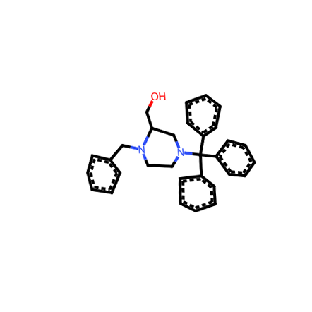 OCC1CN(C(c2ccccc2)(c2ccccc2)c2ccccc2)CCN1Cc1ccccc1